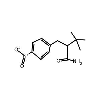 CC(C)(C)C(Cc1ccc([N+](=O)[O-])cc1)C(N)=O